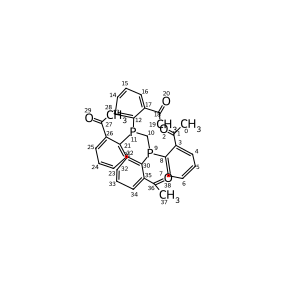 CC(=O)c1ccccc1P(CP(c1ccccc1C(C)=O)c1ccccc1C(C)=O)c1ccccc1C(C)=O